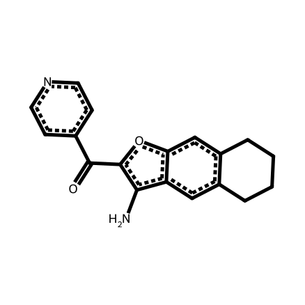 Nc1c(C(=O)c2ccncc2)oc2cc3c(cc12)CCCC3